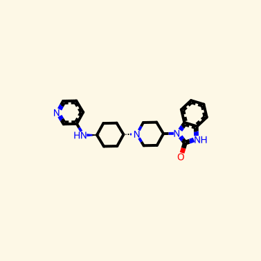 O=c1[nH]c2ccccc2n1C1CCN([C@H]2CC[C@H](Nc3cccnc3)CC2)CC1